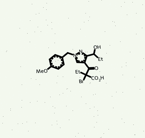 CCC(O)c1nn(Cc2ccc(OC)cc2)cc1C(=O)C(Br)(CC)C(=O)O